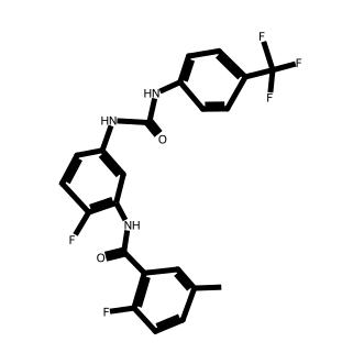 Cc1ccc(F)c(C(=O)Nc2cc(NC(=O)Nc3ccc(C(F)(F)F)cc3)ccc2F)c1